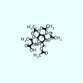 CC(=O)OC[C@H]1O[C@H](O[C@H](C)[C@H](N)C(=O)O)[C@@H](OC(C)=O)[C@@H](OC(C)=O)[C@@H]1OC(C)=O